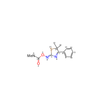 CNC(=O)ON=C1N=C(c2ccccc2)C(C)(C)S1